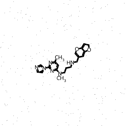 Cc1cc(N(C)CCCNCC2=COC3=CCOC3=C2)nc(-n2ccnc2)n1